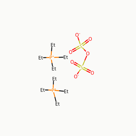 CC[P+](CC)(CC)CC.CC[P+](CC)(CC)CC.O=S(=O)([O-])OS(=O)(=O)[O-]